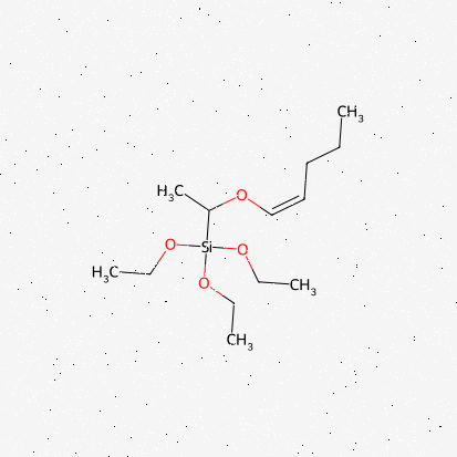 CCC/C=C\OC(C)[Si](OCC)(OCC)OCC